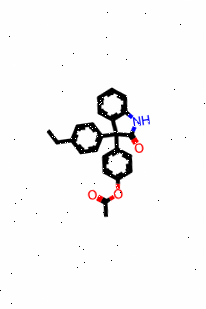 CCc1ccc(C2(c3ccc(OC(C)=O)cc3)C(=O)Nc3ccccc32)cc1